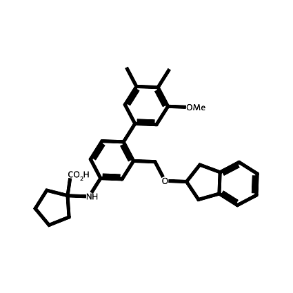 COc1cc(-c2ccc(NC3(C(=O)O)CCCC3)cc2COC2Cc3ccccc3C2)cc(C)c1C